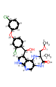 COC[C@]1(C)Nc2c(cnc3[nH]cc(C(O)c4ccc(Oc5cccc(Cl)c5)cc4Cl)c23)NC1=O